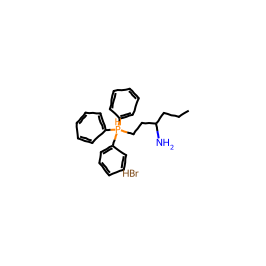 Br.CCCC(N)CC[PH](c1ccccc1)(c1ccccc1)c1ccccc1